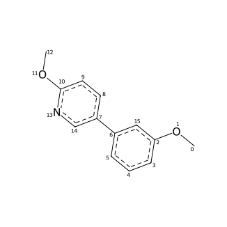 COc1cccc(-c2ccc(OC)nc2)c1